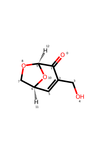 O=C1C(CO)=C[C@H]2CO[C@@H]1O2